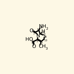 CC1=C(C(=O)O)N2C(=O)C(N)[C@@H]2SC1